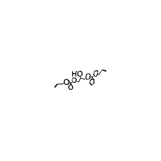 C=CCOC(=O)OCC(O)COC(=O)OCC=C